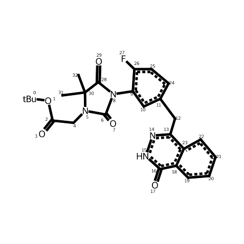 CC(C)(C)OC(=O)CN1C(=O)N(c2cc(Cc3n[nH]c(=O)c4ccccc34)ccc2F)C(=O)C1(C)C